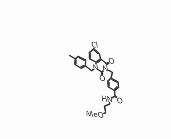 COCCCNC(=O)c1ccc(Cn2c(=O)c3cc(Cl)ccc3n(Cc3ccc(C)cc3)c2=O)cc1